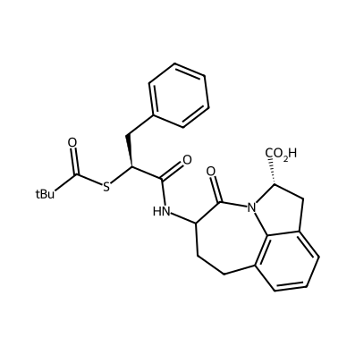 CC(C)(C)C(=O)S[C@@H](Cc1ccccc1)C(=O)NC1CCc2cccc3c2N(C1=O)[C@H](C(=O)O)C3